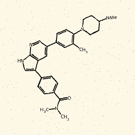 CNC1CCN(c2ccc(-c3cnc4[nH]cc(-c5ccc(C(=O)N(C)C)cc5)c4c3)cc2C)CC1